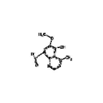 COc1cc([N+](=O)[O-])c2nccc(C)c2c1O